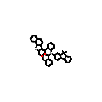 CC1(C)c2ccccc2-c2ccc(N(c3ccccc3-c3cccc4oc5c6ccccc6ccc5c34)c3cccc4ccccc34)cc21